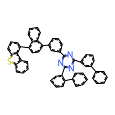 c1ccc(-c2cccc(-c3nc(-c4cccc(-c5ccc(-c6cccc7sc8ccccc8c67)c6ccccc56)c4)nc(-c4ccccc4-c4ccccc4)n3)c2)cc1